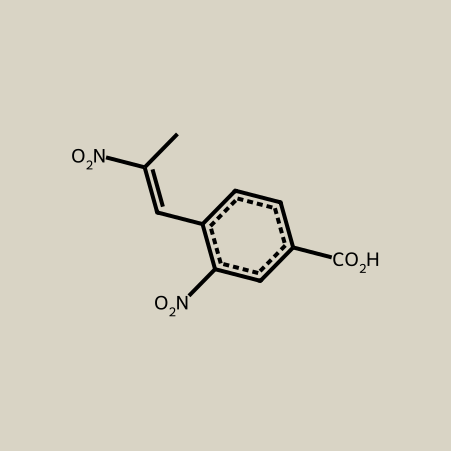 C/C(=C\c1ccc(C(=O)O)cc1[N+](=O)[O-])[N+](=O)[O-]